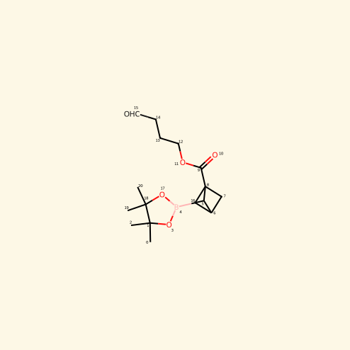 CC1(C)OB(C2C3CC2(C(=O)OCCCC=O)C3)OC1(C)C